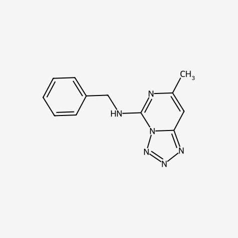 Cc1cc2nnnn2c(NCc2ccccc2)n1